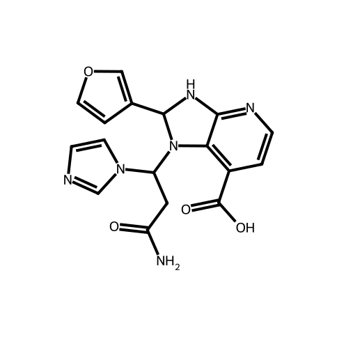 NC(=O)CC(N1c2c(C(=O)O)ccnc2NC1c1ccoc1)n1ccnc1